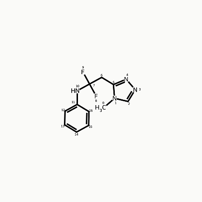 Cn1cnnc1CC(F)(F)Nc1ccccc1